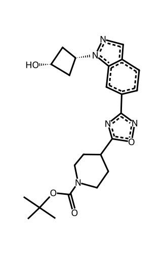 CC(C)(C)OC(=O)N1CCC(c2nc(-c3ccc4cnn([C@H]5C[C@@H](O)C5)c4c3)no2)CC1